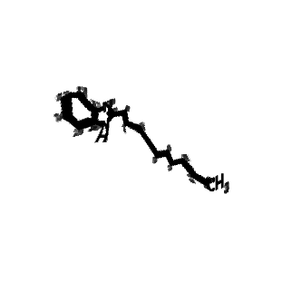 CCCCCCCCCc1nc2ccccc2[nH]1